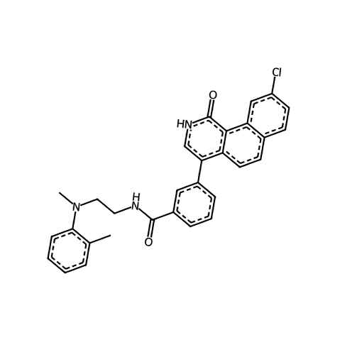 Cc1ccccc1N(C)CCNC(=O)c1cccc(-c2c[nH]c(=O)c3c2ccc2ccc(Cl)cc23)c1